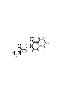 NC(=O)CCn1ccc2ccccc2c1=O